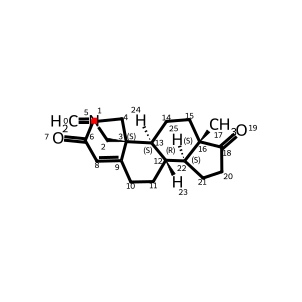 C=NC[C@]12CCC(=O)C=C1CC[C@@H]1[C@@H]2CC[C@]2(C)C(=O)CC[C@@H]12